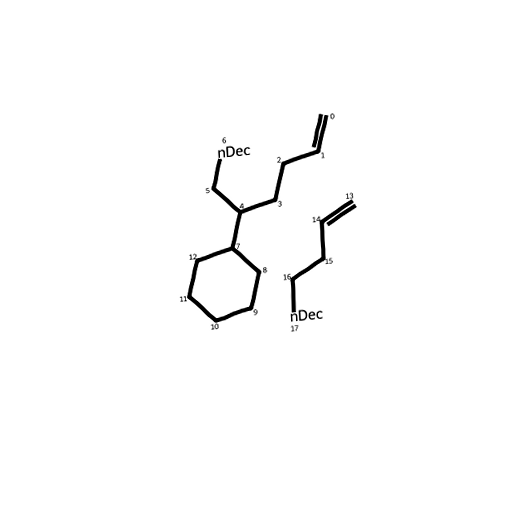 C=CCCC(CCCCCCCCCCC)C1CCCCC1.C=CCCCCCCCCCCCC